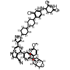 COc1ccc(CN2C3COCC2CN(c2ccc(-c4nc(-c5cnn(C6CCC(N7CCC(c8ccc(NC9CCC(=O)NC9=O)cc8Cl)CC7)CC6)c5)cn5ncc(C#N)c45)cn2)C3)cn1